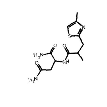 Cc1csc(CC(C)C(=O)NC(CC(N)=O)C(N)=O)n1